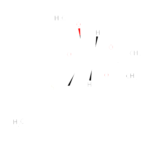 C=CCSC[C@H]1O[C@@H](OC)[C@@H]2OC(C)(C)O[C@@H]21